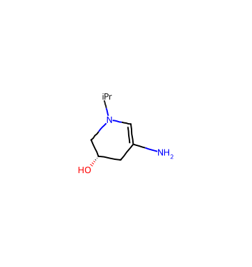 CC(C)N1C=C(N)C[C@H](O)C1